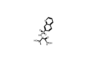 C[C@@H](O)[C@H](NS(=O)(=O)c1ccc2cccnc2c1)C(=O)NO